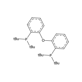 CC(C)(C)P(c1ccccc1Oc1ccccc1P(C(C)(C)C)C(C)(C)C)C(C)(C)C